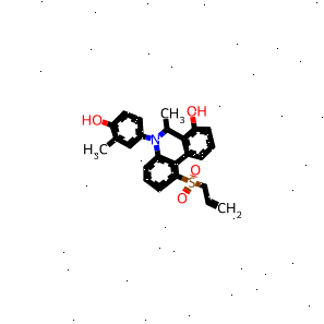 C=CCS(=O)(=O)c1cccc2c1-c1cccc(O)c1C(C)N2c1ccc(O)c(C)c1